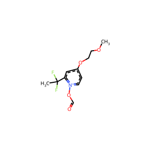 COCCOc1cc[n+](OC=O)c(C(C)(F)F)c1